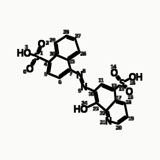 O=S(=O)(O)c1ccc(N=Nc2cc(S(=O)(=O)O)c3cccnc3c2O)c2ccccc12